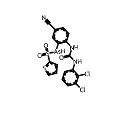 N#Cc1ccc(NC(=O)Nc2cccc(Cl)c2Cl)c([AsH]S(=O)(=O)c2cccs2)c1